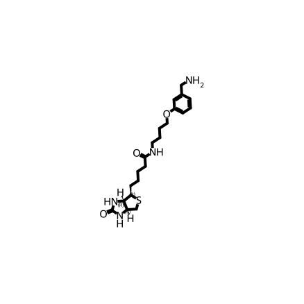 NCc1cccc(OCCCCNC(=O)CCCC[C@H]2SC[C@H]3NC(=O)N[C@H]32)c1